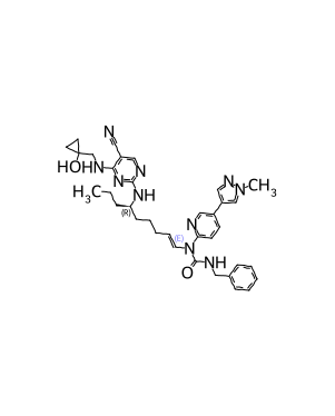 CCC[C@H](CCC/C=C/N(C(=O)NCc1ccccc1)c1ccc(-c2cnn(C)c2)cn1)Nc1ncc(C#N)c(NCC2(O)CC2)n1